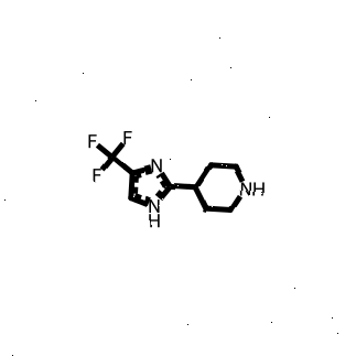 FC(F)(F)c1c[nH]c(C2CCNCC2)n1